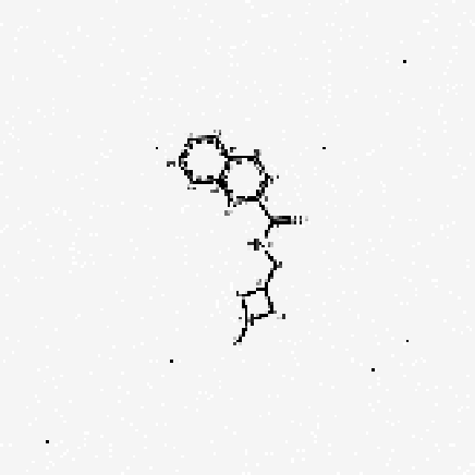 CN1CC(CNC(=O)c2ncc3ccccc3n2)C1